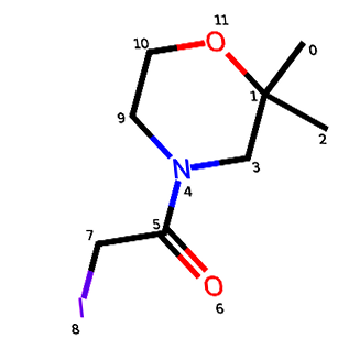 CC1(C)CN(C(=O)CI)CCO1